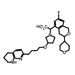 O=C(O)C(c1cc(F)cc2c1CC(C1CCOCC1)OC2)N1CCC(OCCCCc2ccc3c(n2)NCCC3)C1